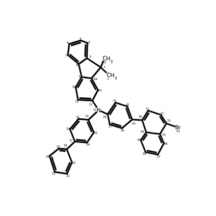 CC1(C)c2ccccc2-c2ccc(N(c3ccc(-c4ccccc4)cc3)c3ccc(-c4ccc(Br)c5ccccc45)cc3)cc21